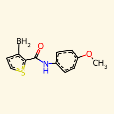 Bc1ccsc1C(=O)Nc1ccc(OC)cc1